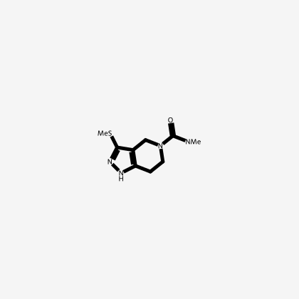 CNC(=O)N1CCc2[nH]nc(SC)c2C1